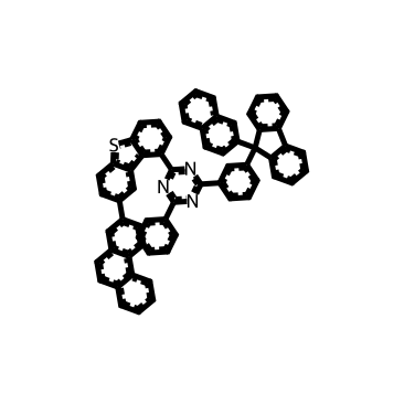 c1ccc(-c2nc(-c3cccc(C4(c5ccc6ccccc6c5)c5ccccc5-c5ccccc54)c3)nc(-c3cccc4sc5ccc(-c6ccc7c(ccc8ccccc87)c6)cc5c34)n2)cc1